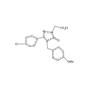 CCOC(=O)Cn1nc(-c2ccc(Cl)cc2)n(Cc2ccc(OC)cc2)c1=O